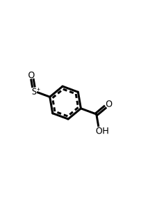 O=[S+]c1ccc(C(=O)O)cc1